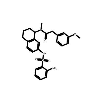 COc1cccc(CC(=O)N(C)C2CCCc3ccc(NS(=O)(=O)c4ccccc4N)cc32)c1